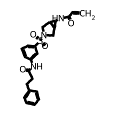 C=CC(=O)NC1C2CN(S(=O)(=O)c3cccc(NC(=O)CCc4ccccc4)c3)CC21